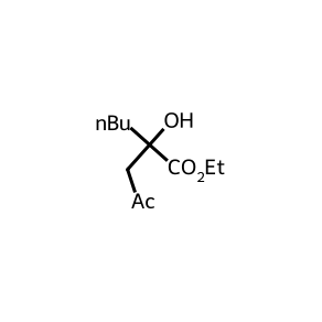 CCCCC(O)(CC(C)=O)C(=O)OCC